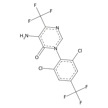 Nc1c(C(F)(F)F)ncn(-c2c(Cl)cc(C(F)(F)F)cc2Cl)c1=O